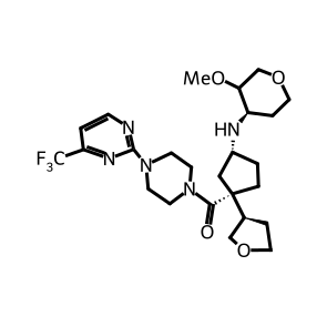 COC1COCC[C@H]1N[C@@H]1CC[C@@](C(=O)N2CCN(c3nccc(C(F)(F)F)n3)CC2)([C@H]2CCOC2)C1